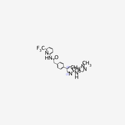 C=C(/N=C\C(=C/C)c1ccc(CC(=O)Nc2cccc(C(F)(F)F)n2)cc1)Nc1cnn(C)c1